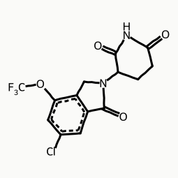 O=C1CCC(N2Cc3c(OC(F)(F)F)cc(Cl)cc3C2=O)C(=O)N1